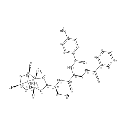 CCCCc1ccc(C(=O)N[C@@H](CNC(=O)c2cnccn2)C(=O)N[C@@H](CC(C)C)B2O[C@@H]3C[C@@H]4C[C@@H](C4(C)C)[C@]3(C)O2)cc1